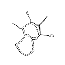 Cc1c(Cl)c(C)c2ccccc2c1Cl